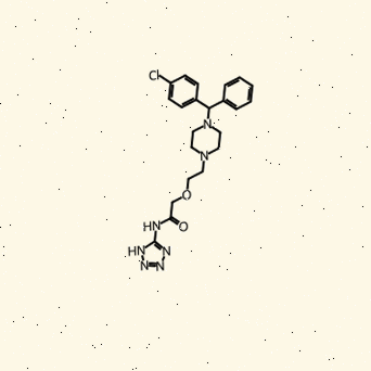 O=C(COCCN1CCN(C(c2ccccc2)c2ccc(Cl)cc2)CC1)Nc1nnn[nH]1